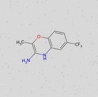 CC1=C(N)Nc2cc(C(F)(F)F)ccc2O1